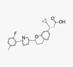 Cc1ccc(F)c(-c2ccc(C3CCc4ccc([C@@H](CC(=O)O)C5CC5)cc4O3)cn2)c1